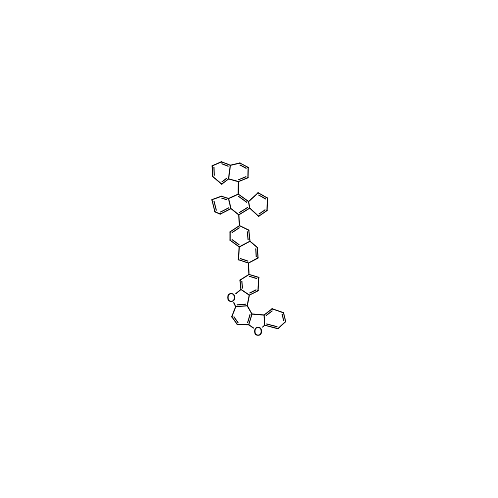 c1ccc2c(-c3c4ccccc4c(-c4ccc5cc(-c6ccc7c(c6)oc6ccc8oc9ccccc9c8c67)ccc5c4)c4ccccc34)cccc2c1